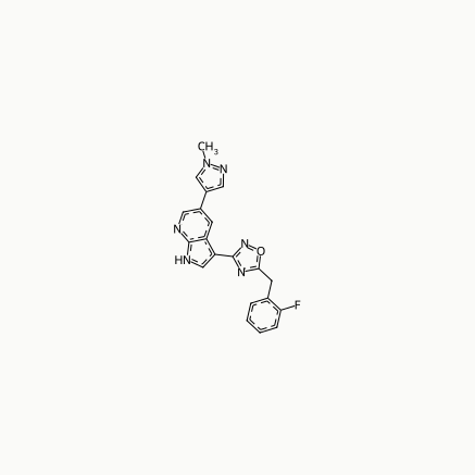 Cn1cc(-c2cnc3[nH]cc(-c4noc(Cc5ccccc5F)n4)c3c2)cn1